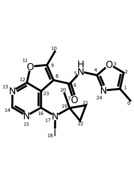 Cc1coc(NC(=O)c2c(C)oc3ncnc(N(I)C4(C)CC4)c23)n1